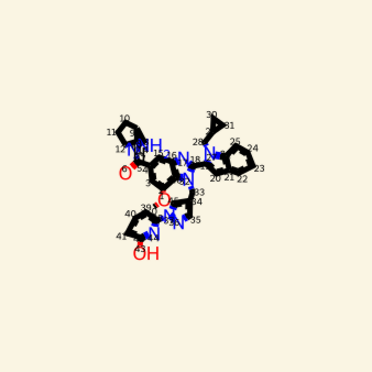 COc1cc(C(=O)N2CC3CCC2[C@@H]3N)cc2nc(-c3cc4ccccc4n3CC3CC3)n(Cc3cnn(-c4cccc(O)n4)c3)c12